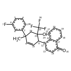 CC1(c2cccc(F)c2)C=CC(n2ccc(=O)c3ccccc32)C(O)(C(F)(F)F)C1